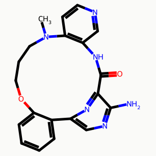 CN1CCCOc2ccccc2-c2cnc(N)c(n2)C(=O)Nc2cnccc21